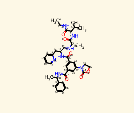 CCNC(=O)[C@@H](NC(=O)[C@H](C)NC[C@H](Cc1ccccn1)NC(=O)c1cc(C(=O)N[C@H](C)c2ccccc2)cc(N2CCOC2=O)c1)C(C)C